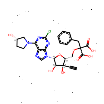 C#C[C@@]1(O)[C@@H](COC(Cc2ccccc2)(C(=O)O)C(=O)O)O[C@@H](n2cnc3c(N4CC[C@H](O)C4)nc(Cl)nc32)[C@@H]1O